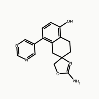 NC1=NC2(CCc3c(O)ccc(-c4cncnc4)c3C2)CO1